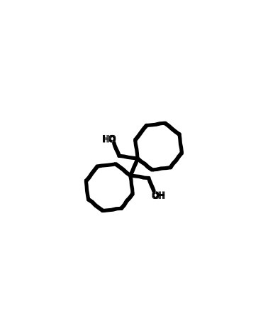 OCC1(C2(CO)CCCCCCC2)CCCCCCC1